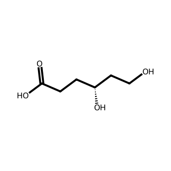 O=C(O)CC[C@@H](O)CCO